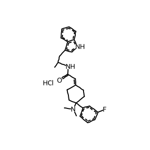 CC(Cc1c[nH]c2ccccc12)NC(=O)C=C1CCC(c2cccc(F)c2)(N(C)C)CC1.Cl